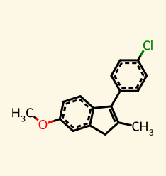 COc1ccc2c(c1)CC(C)=C2c1ccc(Cl)cc1